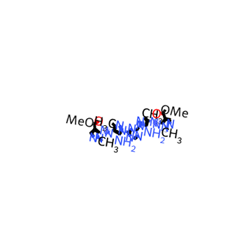 COC(=O)c1cnn(C)c1/N=N/c1c(C)nn(-c2ncnc(-n3nc(C)c(/N=N/c4c(C(=O)OC)cnn4C)c3N)n2)c1N